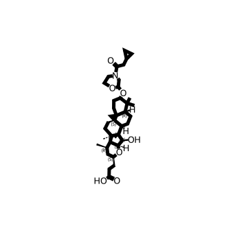 C[C@@H]1C[C@H](CCC(=O)O)O[C@H]2C1[C@@]1(C)CC[C@@]34CC35CCC(OC3CN(C(=O)CC6CC6)CCO3)C(C)(C)[C@@H]5CC[C@H]4[C@]1(C)[C@H]2O